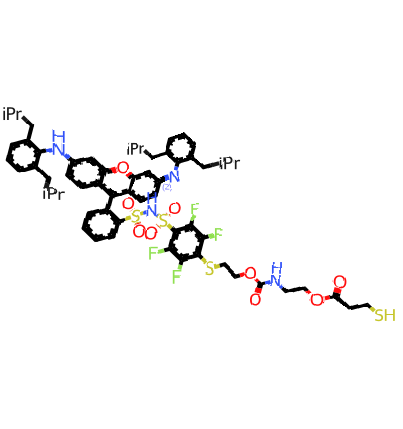 CC(C)Cc1cccc(CC(C)C)c1/N=c1/ccc2c(-c3ccccc3S(=O)(=O)NS(=O)(=O)c3c(F)c(F)c(SCCOC(=O)NCCOC(=O)CCS)c(F)c3F)c3ccc(Nc4c(CC(C)C)cccc4CC(C)C)cc3oc-2c1